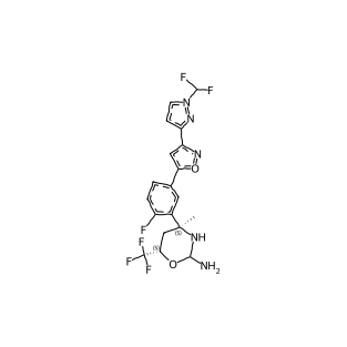 C[C@@]1(c2cc(-c3cc(-c4ccn(C(F)F)n4)no3)ccc2F)C[C@@H](C(F)(F)F)OC(N)N1